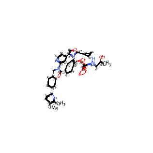 COc1ccc([C@H]2CC[C@H](CN(c3cc(-c4coc(C5CC5)n4)ccn3)C(=O)[C@H]3CC[C@H](OC(=O)NCC(C)O)CC3)CC2)nc1C